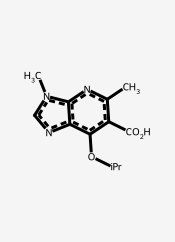 Cc1nc2c(ncn2C)c(OC(C)C)c1C(=O)O